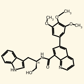 COc1cc(-c2cc(C(=O)N[C@@H](CO)Cc3c[nH]c4ccccc34)c3ncccc3c2)cc(OC)c1OC